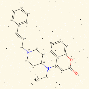 CCN(c1cc(=O)oc2ccccc12)C1CCN(CC=Cc2ccccc2)CC1